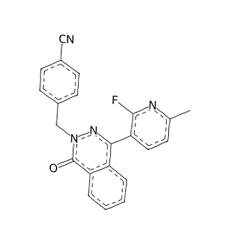 Cc1ccc(-c2nn(Cc3ccc(C#N)cc3)c(=O)c3ccccc23)c(F)n1